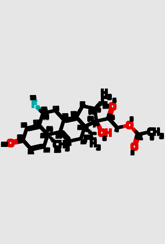 CC(=O)OCC(=O)[C@@]1(O)[C@H](C)CC2=C3C[C@H](F)C4=CC(=O)C=C[C@]4(C)C3=CC[C@@]21C